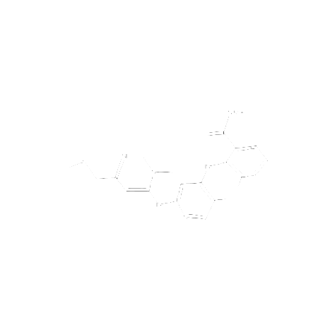 CCNCC(=N)/C=C(/Nc1cc(Nc2c(F)cccc2C(=O)NC)c(Cl)cn1)N(C)C